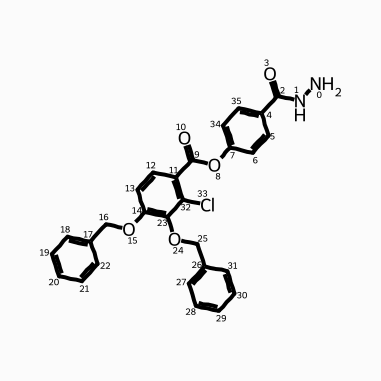 NNC(=O)c1ccc(OC(=O)c2ccc(OCc3ccccc3)c(OCc3ccccc3)c2Cl)cc1